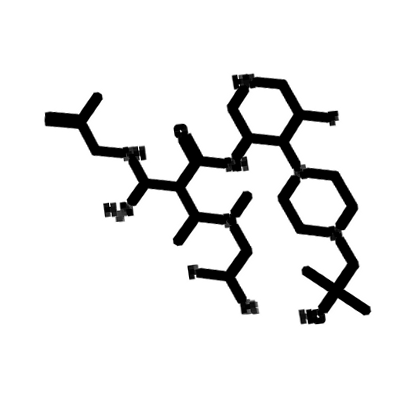 C=C(C)CNC(N)C(C(=O)NC1CNCC(F)C1N1CCN(CC(C)(C)O)CC1)C(C)N(C)CC(F)CC